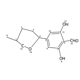 CC1CCC(c2cc(O)c(C=O)c(O)c2)OC1